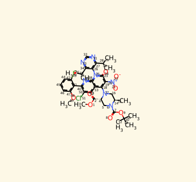 COC(=O)[C@H]1CN(C(=O)OC(C)(C)C)[C@H](C)CN1c1c([N+](=O)[O-])c(=O)n(-c2c(C(C)C)ncnc2C(C)C)c2nc(-c3c(F)cccc3OC)c(Cl)cc12